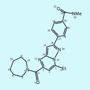 CCc1cc(C(=O)N2CCCCCC2)nc2cc(-c3ccc(C(=O)NC)cc3)nn12